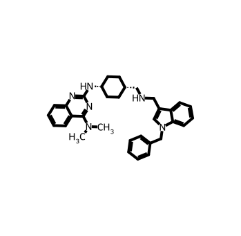 CN(C)c1nc(N[C@H]2CC[C@@H](CNCc3cn(Cc4ccccc4)c4ccccc34)CC2)nc2ccccc12